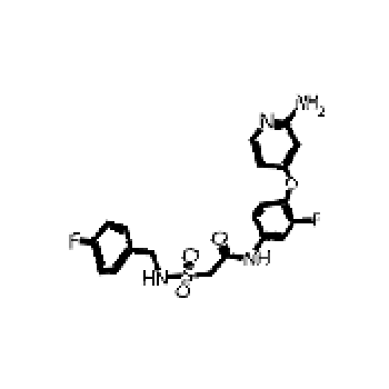 Nc1cc(Oc2ccc(NC(=O)CS(=O)(=O)NCc3ccc(F)cc3)cc2F)ccn1